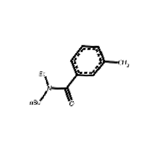 CCCCN(CC)C(=O)c1cccc(C)c1